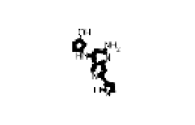 Nc1cc(N[C@H]2CC[C@H](O)C2)c2cnc(-c3ccn[nH]3)cc2n1